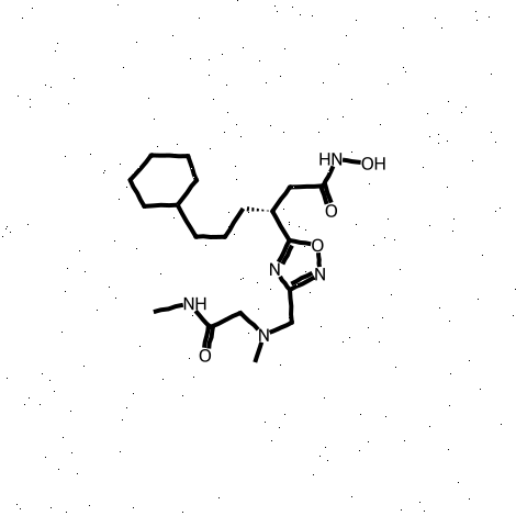 CNC(=O)CN(C)Cc1noc([C@H](CCCC2CCCCC2)CC(=O)NO)n1